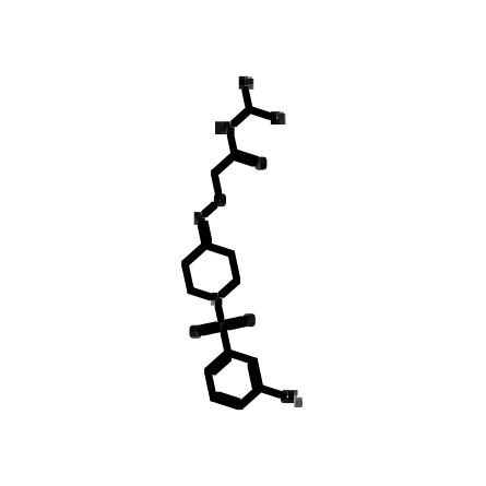 CCC(CC)NC(=O)CON=C1CCN(S(=O)(=O)c2cccc(C(F)(F)F)c2)CC1